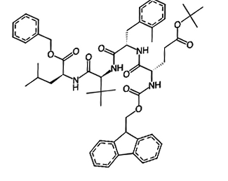 Cc1ccccc1C[C@H](NC(=O)[C@H](CCC(=O)OC(C)(C)C)NC(=O)OCC1c2ccccc2-c2ccccc21)C(=O)N[C@H](C(=O)N[C@@H](CC(C)C)C(=O)OCc1ccccc1)C(C)(C)C